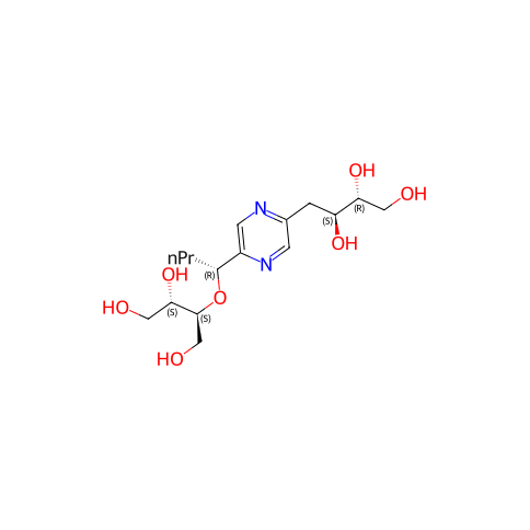 CCC[C@@H](O[C@@H](CO)[C@@H](O)CO)c1cnc(C[C@H](O)[C@H](O)CO)cn1